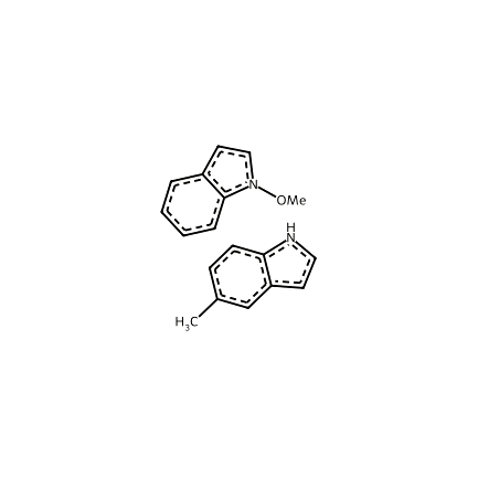 COn1ccc2ccccc21.Cc1ccc2[nH]ccc2c1